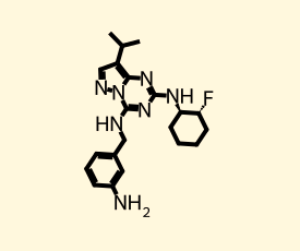 CC(C)c1cnn2c(NCc3cccc(N)c3)nc(N[C@@H]3CCCC[C@H]3F)nc12